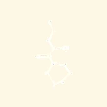 CCCC(O)C(=O)N1CCCCC1